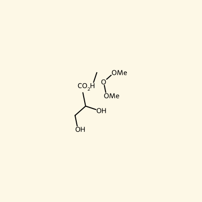 CC(=O)O.CC(O)CO.COOOC